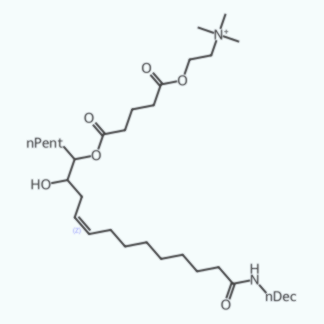 CCCCCCCCCCNC(=O)CCCCCCC/C=C\CC(O)C(CCCCC)OC(=O)CCCC(=O)OCC[N+](C)(C)C